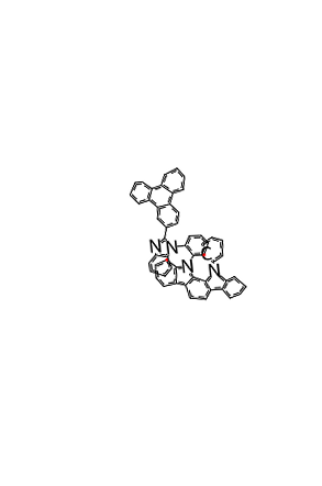 c1ccc(-n2c3ccccc3c3ccc4c5ccccc5n(-c5ccccc5-n5c(-c6ccc7c8ccccc8c8ccccc8c7c6)nc6ccccc65)c4c32)cc1